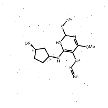 CCCSC1N=C(OC)C(NN=N)=C(N[C@H]2CC[C@@H](N=O)C2)N1